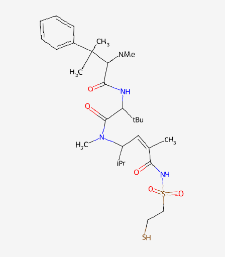 CNC(C(=O)NC(C(=O)N(C)C(C=C(C)C(=O)NS(=O)(=O)CCS)C(C)C)C(C)(C)C)C(C)(C)c1ccccc1